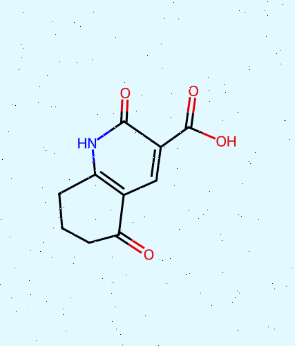 O=C1CCCc2[nH]c(=O)c(C(=O)O)cc21